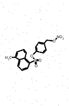 Cc1cccc2c(S(=O)(=O)Oc3ccc(CO[N+](=O)[O-])cc3)cccc12